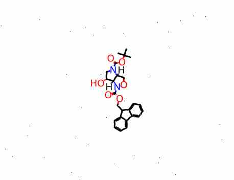 CC(C)(C)OC(=O)N1C[C@H](O)[C@@H]2[C@H]1CON2C(=O)OCC1c2ccccc2-c2ccccc21